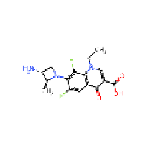 CCn1cc(C(=O)O)c(=O)c2cc(F)c(N3C[C@@H](N)[C@@H]3C)c(F)c21